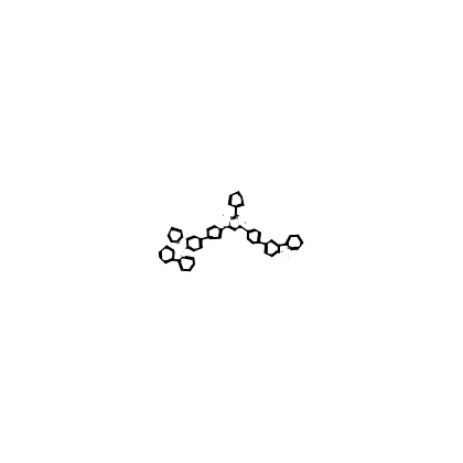 c1ccc(-c2nc(-c3ccc(-c4ccc([Si]5(c6ccccc6)c6ccccc6-c6ccccc65)cc4)cc3)cc(-c3ccc(-c4ccc5sc6ccccc6c5c4)cc3)n2)cc1